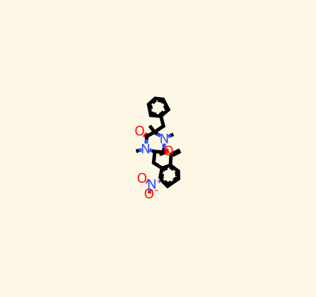 C=Cc1cccc([N+](=O)[O-])c1CC1C(=O)N(C)C(C)(Cc2ccccc2)C(=O)N1C